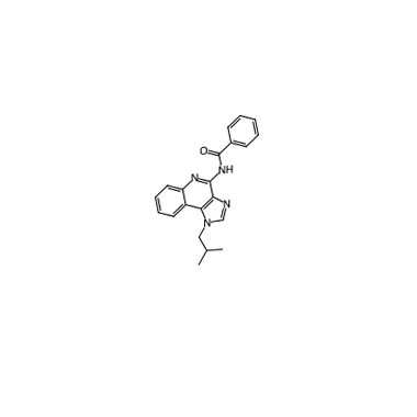 CC(C)Cn1cnc2c(NC(=O)c3ccccc3)nc3ccccc3c21